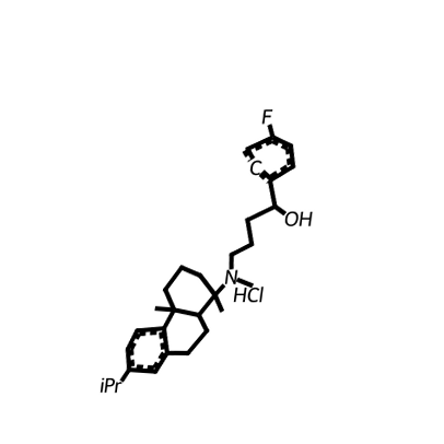 CC(C)c1ccc2c(c1)CCC1C2(C)CCCC1(C)N(C)CCCC(O)c1ccc(F)cc1.Cl